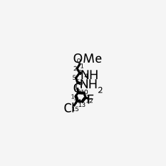 COCCC(=N)CC(N)Cc1cc(F)cc(Cl)c1